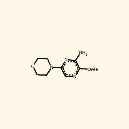 COc1ncc(N2CCOCC2)nc1N